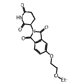 C[CH]OCCOc1ccc2c(c1)C(=O)N(C1CCC(=O)NC1=O)C2=O